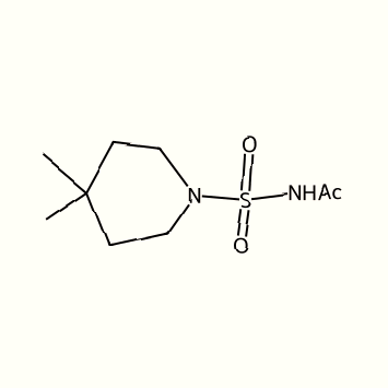 CC(=O)NS(=O)(=O)N1CCC(C)(C)CC1